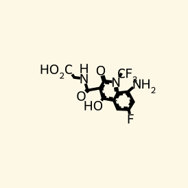 Nc1cc(F)cc2c(O)c(C(=O)NCC(=O)O)c(=O)n(C(F)(F)F)c12